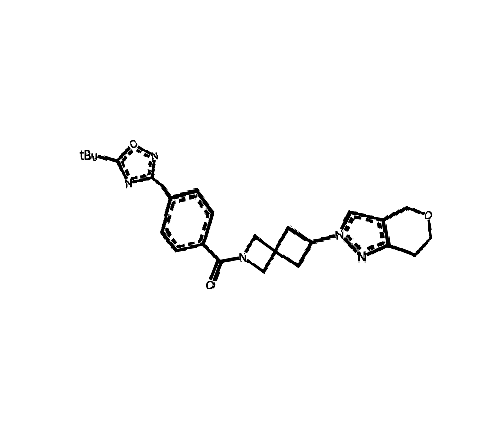 CC(C)(C)c1nc(-c2ccc(C(=O)N3CC4(CC(n5cc6c(n5)CCOC6)C4)C3)cc2)no1